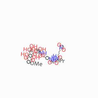 COc1cccc2c1C(=O)c1c(O)c3c(c(O)c1C2=O)C[C@@](O)(C(=O)CO)CC3OC1C[C@H](NC(=O)OCc2ccc(NC(=O)[C@H](C)NC(=O)[C@@H](NC(=O)CCCCCN3C(=O)C=CC3=O)C(C)C)cc2)[C@H](O)[C@H](C)O1